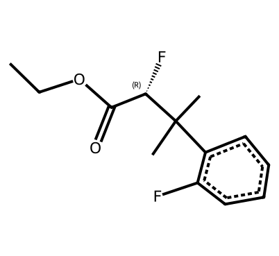 CCOC(=O)[C@H](F)C(C)(C)c1ccccc1F